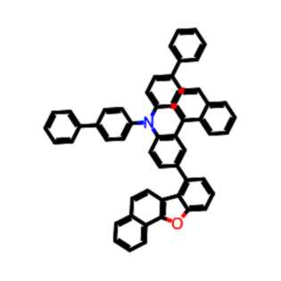 c1ccc(-c2ccc(N(c3ccc(-c4ccccc4)cc3)c3ccc(-c4cccc5oc6c7ccccc7ccc6c45)cc3-c3cccc4ccccc34)cc2)cc1